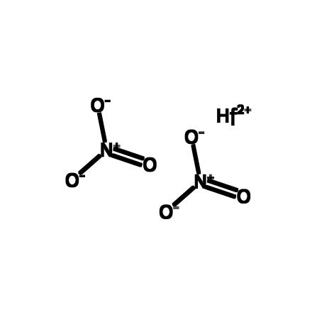 O=[N+]([O-])[O-].O=[N+]([O-])[O-].[Hf+2]